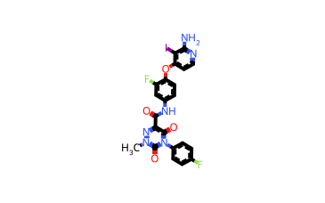 Cn1nc(C(=O)Nc2ccc(Oc3ccnc(N)c3I)c(F)c2)c(=O)n(-c2ccc(F)cc2)c1=O